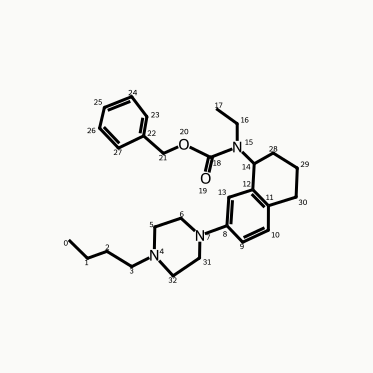 CCCCN1CCN(c2ccc3c(c2)C(N(CC)C(=O)OCc2ccccc2)CCC3)CC1